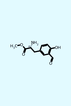 COC(=O)[C@H](N)Cc1ccc(O)c(C=O)c1